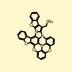 CC(C)(C)Cc1c2c3ccccc3oc2n2c3c4c(oc5ccccc54)c4c5c3n(c12)-c1cccc2c1B5c1c(cccc1O4)O2